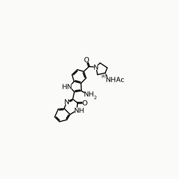 CC(=O)N[C@@H]1CCN(C(=O)c2ccc3[nH]c(-c4nc5ccccc5[nH]c4=O)c(N)c3c2)C1